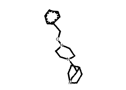 c1ccc(CON2CCN(C3CN4CCC3CC4)CC2)cc1